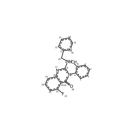 Cc1ccccc1-n1c(NCc2ccccn2)nc2cccc(F)c2c1=O